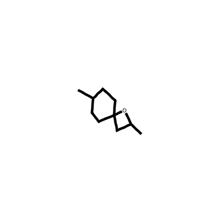 CC1CCC2(CC1)CC(C)O2